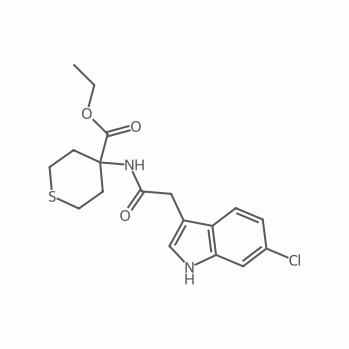 CCOC(=O)C1(NC(=O)Cc2c[nH]c3cc(Cl)ccc23)CCSCC1